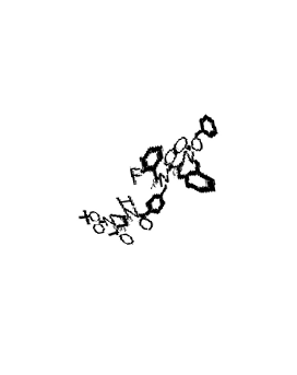 CC(=O)[C@@H]1C[C@H](NC(=O)c2ccc(CN(C(=O)[C@@H]3Cc4ccccc4CN3C(=O)OCc3ccccc3)[C@H](C)c3ccccc3F)cc2)CN1C(=O)OC(C)(C)C